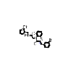 CCN1CCCC1CNC(=O)CN1C(=O)/C(=C/c2cccc(Br)c2)Sc2ccccc21